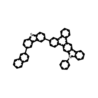 c1ccc(-n2c3ccccc3c3cc4c5ccccc5c5cc(-c6ccc7sc8ccc(-c9ccc%10ccccc%10c9)cc8c7c6)ccc5c4cc32)cc1